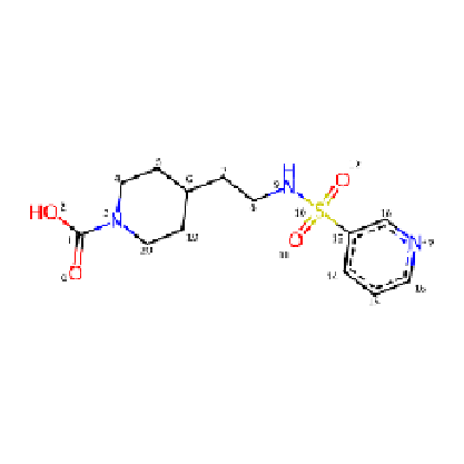 O=C(O)N1CCC(CCNS(=O)(=O)c2cccnc2)CC1